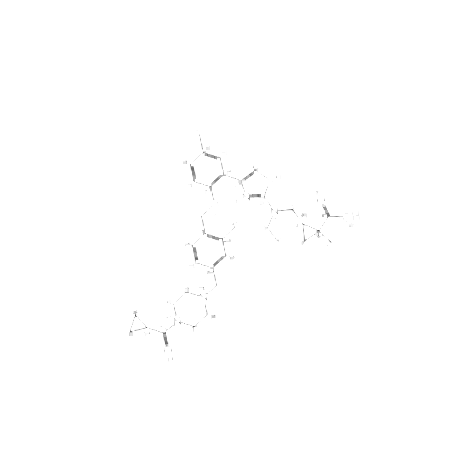 CCN(C[C@@H]1C[C@@]1(C)C(=O)O)c1nc(-c2cc(C)ccc2OCc2ccc(CN3CCN(C(=O)C4CC4)CC3)cc2C)cs1